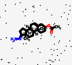 CC(=O)O[C@H]1CC[C@@]2(C)C(=CC[C@@H]3[C@@H]2CC[C@]2(C)/C(=N/N)CC[C@@H]32)C1